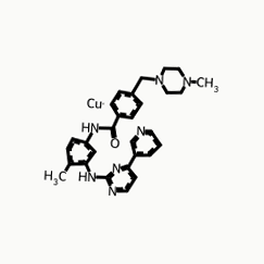 Cc1ccc(NC(=O)c2ccc(CN3CCN(C)CC3)cc2)cc1Nc1nccc(-c2cccnc2)n1.[Cu]